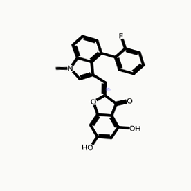 Cn1cc(/C=C2\Oc3cc(O)cc(O)c3C2=O)c2c(-c3ccccc3F)cccc21